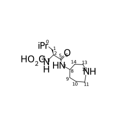 CC(C)C[C@H](NC(=O)O)C(=O)NC1CCCNCC1